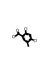 Cc1cc(C(=O)Cl)c(Cl)cc1Cl